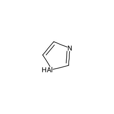 C1=[CH][AlH][CH]=N1